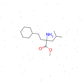 COC(=O)C(N)(CCC1CCCCC1)CC(C)C